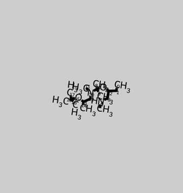 CCC(CNC)OC(C)(C)N(C)CC(C)OC(C)(C)C